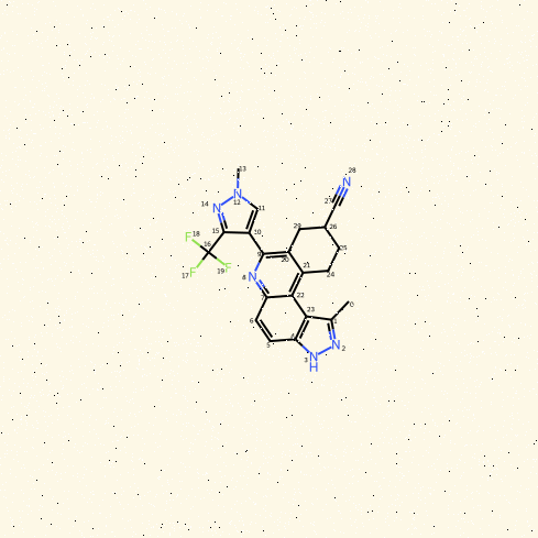 Cc1n[nH]c2ccc3nc(-c4cn(C)nc4C(F)(F)F)c4c(c3c12)CCC(C#N)C4